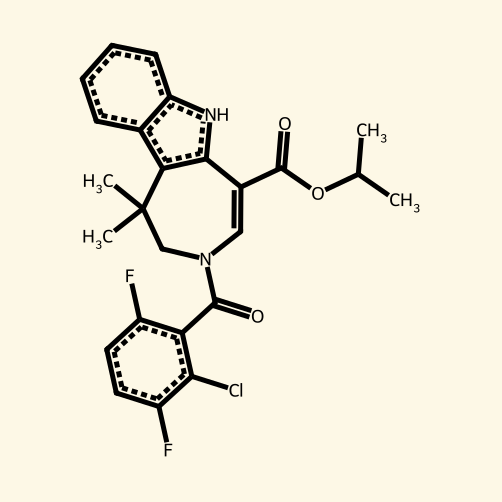 CC(C)OC(=O)C1=CN(C(=O)c2c(F)ccc(F)c2Cl)CC(C)(C)c2c1[nH]c1ccccc21